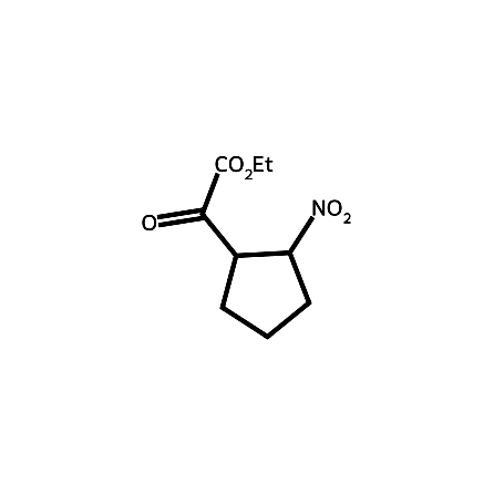 CCOC(=O)C(=O)C1CCCC1[N+](=O)[O-]